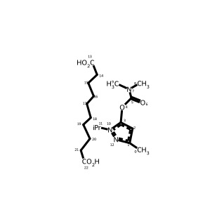 Cc1cc(OC(=O)N(C)C)n(C(C)C)n1.O=C(O)CCCCCCCCC(=O)O